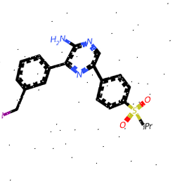 CC(C)S(=O)(=O)c1ccc(-c2cnc(N)c(-c3cccc(CI)c3)n2)cc1